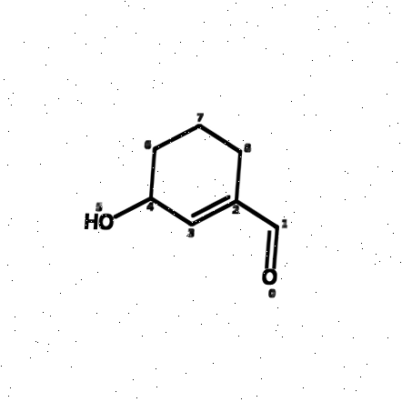 O=CC1=CC(O)CCC1